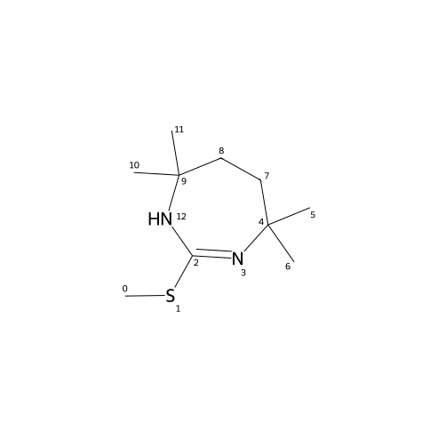 CSC1=NC(C)(C)CCC(C)(C)N1